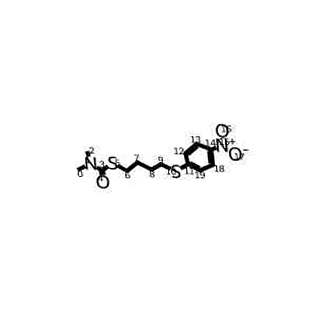 CN(C)C(=O)SCCCCSc1ccc([N+](=O)[O-])cc1